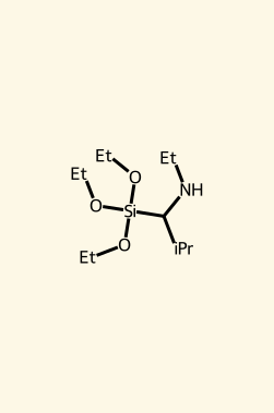 CCNC(C(C)C)[Si](OCC)(OCC)OCC